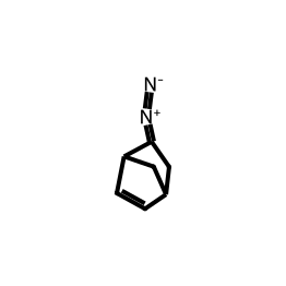 [N-]=[N+]=C1CC2C=CC1C2